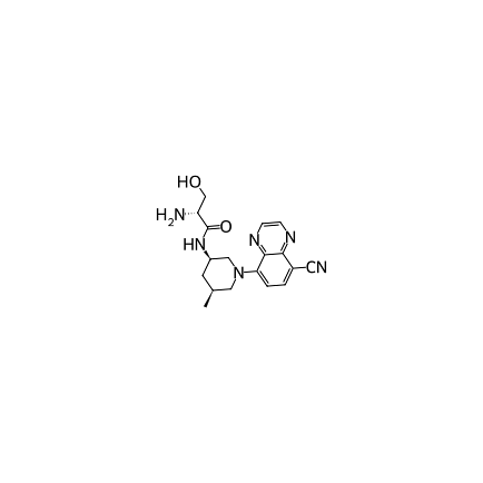 C[C@H]1C[C@@H](NC(=O)[C@H](N)CO)CN(c2ccc(C#N)c3nccnc23)C1